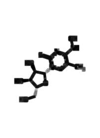 Cc1cn([C@@H]2O[C@H](CO)[C@@H](O)[C@H]2O)c(=S)nc1NO